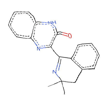 CC1(C)Cc2ccccc2C(c2nc3ccccc3[nH]c2=O)=N1